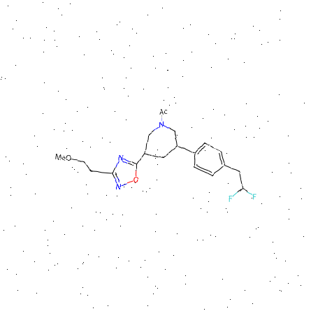 COCCc1noc(C2CC(c3ccc(CC(F)F)cc3)CN(C(C)=O)C2)n1